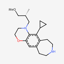 COC[C@H](C)CN1CCOc2cc3c(c(C4CC4)c21)CCNCC3